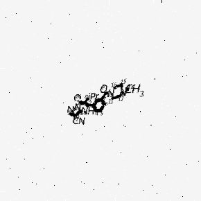 CC(C)c1c(-c2cccc(C(=O)N3CCN(C)CC3)c2)[nH]c2c(C#N)cnn2c1=O